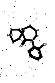 O=C1N(c2ccccc2Cl)COCNC12CCNCC2